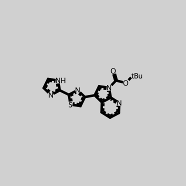 CC(C)(C)OC(=O)n1cc(-c2csc(-c3ncc[nH]3)n2)c2cccnc21